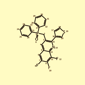 O=P(Cc1cc2cc(F)c(F)c(F)c2nc1-c1ccsc1)(c1ccccc1)c1ccccc1